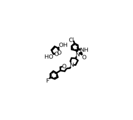 O=C(O)/C=C\C(=O)O.O=c1[nH]c2cc(Cl)ccc2n1C1CCN(CC2CC(c3ccc(F)cc3)CO2)CC1